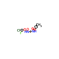 Cc1ccc(OC(=O)NC23CC(NC(=O)COc4ccc(Cl)c(F)c4)(C2)C3)cc1